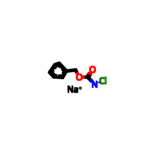 O=C([N-]Cl)OCc1ccccc1.[Na+]